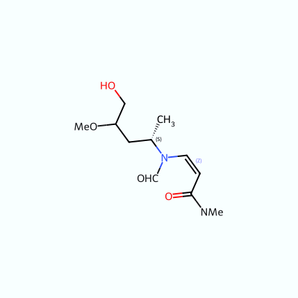 CNC(=O)/C=C\N(C=O)[C@@H](C)CC(CO)OC